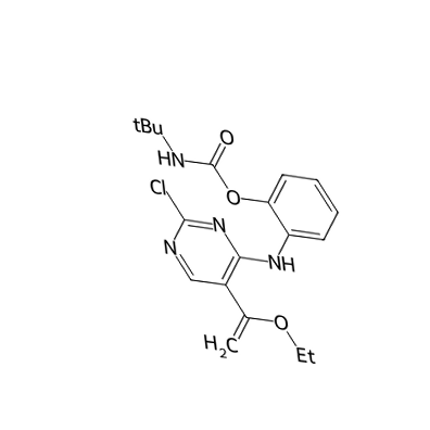 C=C(OCC)c1cnc(Cl)nc1Nc1ccccc1OC(=O)NC(C)(C)C